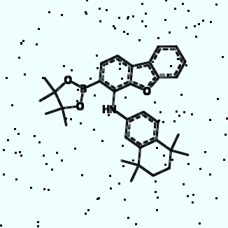 CC1(C)CCC(C)(C)c2cc(Nc3c(B4OC(C)(C)C(C)(C)O4)ccc4c3oc3ccccc34)ccc21